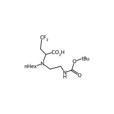 CCCCCCN(CCNC(=O)OC(C)(C)C)C(CC(F)(F)F)C(=O)O